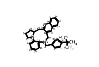 CC(C)(C)c1ccc(CN2Cc3cc4ccccc4nc3CC3CCCN3c3ccccc32)cc1